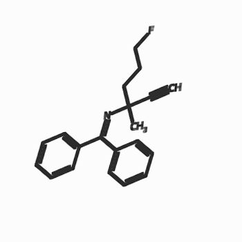 C#CC(C)(CCCF)N=C(c1ccccc1)c1ccccc1